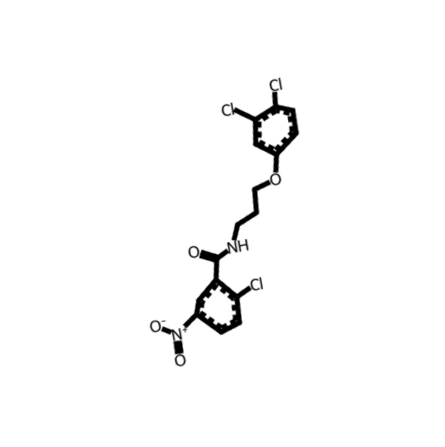 O=C(NCCCOc1ccc(Cl)c(Cl)c1)c1cc([N+](=O)[O-])ccc1Cl